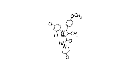 COc1ccc(C2C(C)C(C(=O)NN3CCC(=O)CC3)=NN2c2ccc(Cl)cc2Cl)cc1